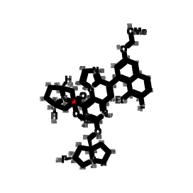 CCc1c(F)ccc2cc(OCOC)cc(-c3cc4nc(OC[C@@]56CCCN5C[C@H](F)C6)nc(N5C[C@H]6CC[C@@H](C5)N6C(=O)OC(C)(C)C)c4n4ccnc34)c12